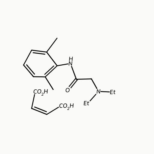 CCN(CC)CC(=O)Nc1c(C)cccc1C.O=C(O)/C=C\C(=O)O